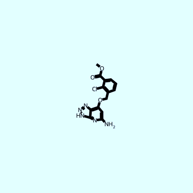 COC(=O)c1cccc(COc2cc(N)nc3[nH]nnc23)c1Cl